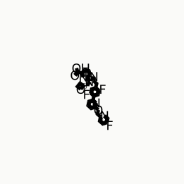 O=C(O)c1ccc2nc(Cc3cc(F)c(-c4cccc(OCc5ccc(F)cn5)n4)cc3F)n(C[C@@H]3CCO3)c2n1